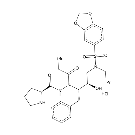 CC(C)CN(C[C@@H](O)[C@H](Cc1ccccc1)N(NC(=O)[C@@H]1CCCN1)C(=O)CC(C)(C)C)S(=O)(=O)c1ccc2c(c1)OCO2.Cl